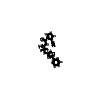 CC(C)(Cc1coc(-c2ccccc2)n1)NCC(=O)N1CCC[C@H]1C#N